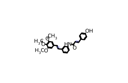 COc1cc(/C=C/c2cccc(NC(=O)/C=C/c3ccc(O)cc3)c2)cc(OC)c1OC